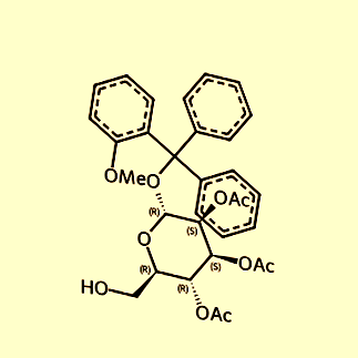 COc1ccccc1C(O[C@H]1O[C@H](CO)[C@@H](OC(C)=O)[C@H](OC(C)=O)[C@@H]1OC(C)=O)(c1ccccc1)c1ccccc1